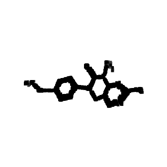 COc1ccc(N2Cc3cnc(Cl)nc3N(C)C2=O)cc1